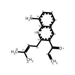 C=CC(=O)c1cc2cccc(N)c2nc1CC=C(C)C